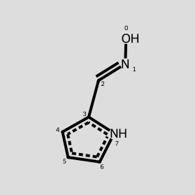 O/N=C/c1ccc[nH]1